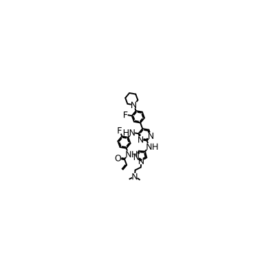 C=CC(=O)Nc1ccc(F)c(Nc2nc(Nc3cnn(CCN(C)C)c3)ncc2-c2ccc(N3CCCCC3)c(F)c2)c1